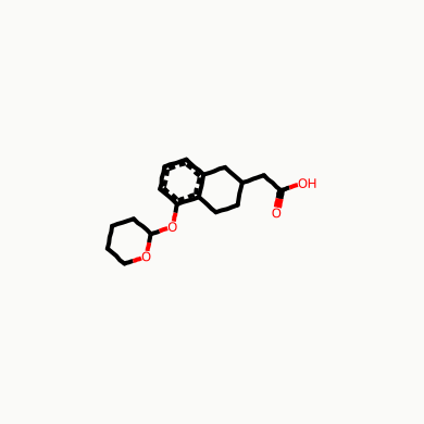 O=C(O)CC1CCc2c(cccc2OC2CCCCO2)C1